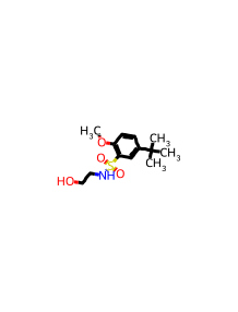 COc1ccc(C(C)(C)C)cc1S(=O)(=O)NCCO